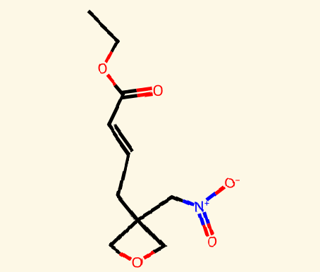 CCOC(=O)C=CCC1(C[N+](=O)[O-])COC1